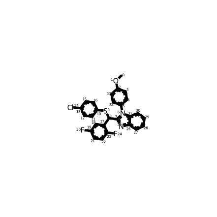 COc1ccc(-n2c(C(Sc3ccc(Cl)cc3)c3cc(F)ccc3F)nc3ccccc32)cc1